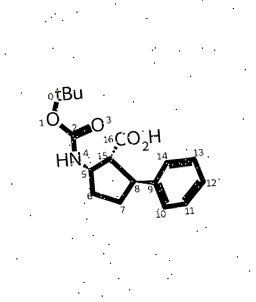 CC(C)(C)OC(=O)N[C@H]1CC[C@H](c2ccccc2)[C@H]1C(=O)O